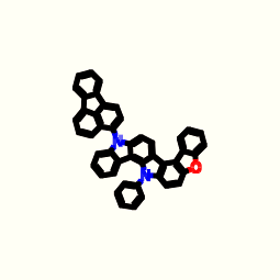 c1ccc(-n2c3ccc4oc5ccccc5c4c3c3ccc4c(c5ccccc5n4-c4ccc5c6c(cccc46)-c4ccccc4-5)c32)cc1